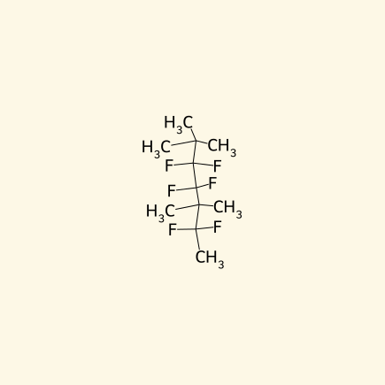 CC(C)(C)C(F)(F)C(F)(F)C(C)(C)C(C)(F)F